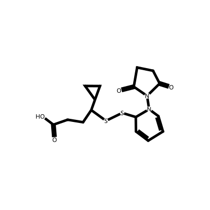 O=C(O)CCC(SSC1C=CC=CN1N1C(=O)CCC1=O)C1CC1